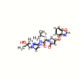 CC(C)C[C@@H](C(=O)Nc1ccn(CC(C)(C)O)n1)N1CC(Oc2cccc3ocnc23)=CC1=O